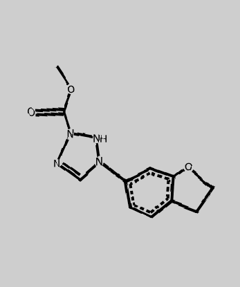 COC(=O)N1N=CN(c2ccc3c(c2)OCC3)N1